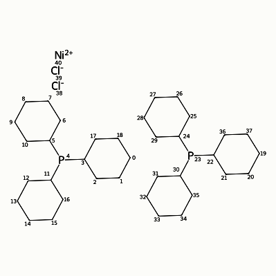 C1CCC(P(C2CCCCC2)C2CCCCC2)CC1.C1CCC(P(C2CCCCC2)C2CCCCC2)CC1.[Cl-].[Cl-].[Ni+2]